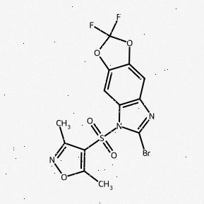 Cc1noc(C)c1S(=O)(=O)n1c(Br)nc2cc3c(cc21)OC(F)(F)O3